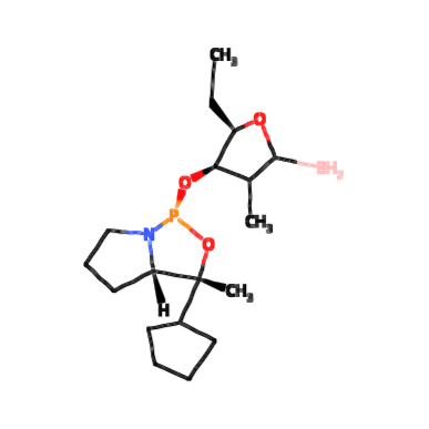 BC1O[C@H](CC)[C@H](O[P@@]2O[C@](C)(C3CCCC3)[C@@H]3CCCN32)C1C